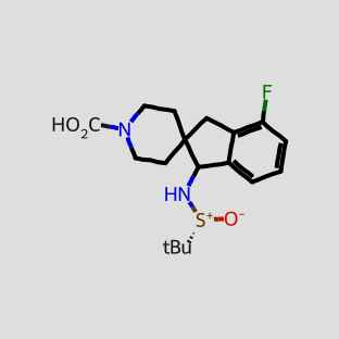 CC(C)(C)[S@@+]([O-])NC1c2cccc(F)c2CC12CCN(C(=O)O)CC2